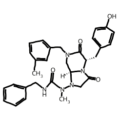 Cc1cccc(CN2C[C@H]3N(C(=O)CN3N(C)C(=O)NCc3ccccc3)[C@@H](Cc3ccc(O)cc3)C2=O)c1